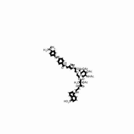 CC(=O)N[C@H]1[C@H](O[C@@H](OCCOCCn2cc(CNC(=O)c3ccc(/N=N/c4ccc(N(C)C)cc4)cc3)nn2)[C@@](C)(OC(C)=O)C(=O)NCCNc2cccc3c(S(=O)(=O)O)cccc23)O[C@H](COC(C)=O)[C@@H](OC(C)=O)[C@@H]1OC(C)=O